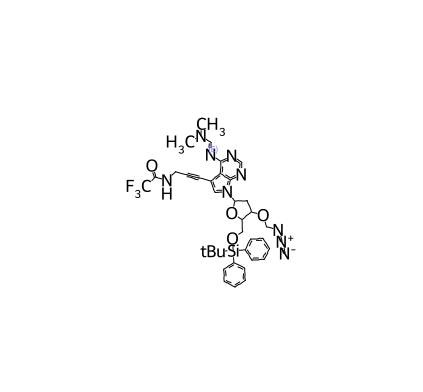 CN(C)/C=N/c1ncnc2c1c(C#CCNC(=O)C(F)(F)F)cn2C1CC(OCN=[N+]=[N-])C(CO[Si](c2ccccc2)(c2ccccc2)C(C)(C)C)O1